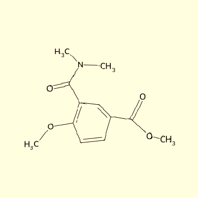 COC(=O)c1ccc(OC)c(C(=O)N(C)C)c1